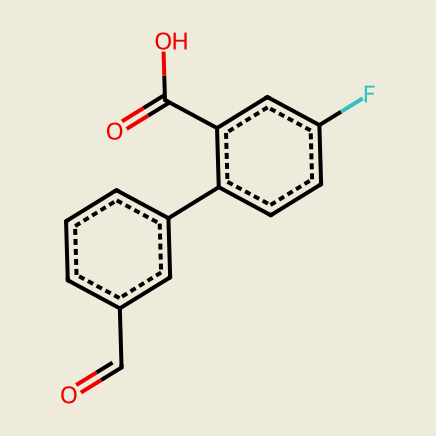 O=Cc1cccc(-c2ccc(F)cc2C(=O)O)c1